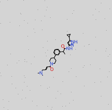 CC(C(=O)Nc1cc(C2CC2)[nH]n1)c1cccc(C2CCN(C(=O)/C=C/CN(C)C)CC2)c1